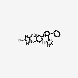 CCCCc1nc(C(C)C)nn1Cc1ccc(-n2ccc(-c3ccccc3)c2-c2nnn[nH]2)cc1